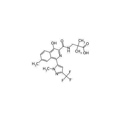 Cc1ccc2c(O)c(C(=O)NCC(C)(C)C(=O)O)nc(-c3cc(C(F)(F)F)nn3C)c2c1